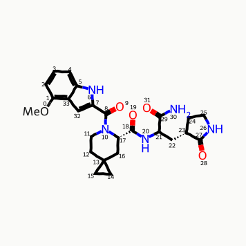 COc1cccc2[nH]c(C(=O)N3CCC4(CC4)C[C@H]3C(=O)NC(C[C@@H]3CCNC3=O)C(N)=O)cc12